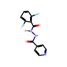 O=C(NN(Br)C(=O)c1c(F)cccc1F)c1ccncc1